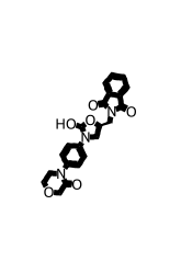 O=C1c2ccccc2C(=O)N1C[C@H]1CN(c2ccc(N3CCOCC3=O)cc2)C(O)O1